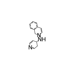 C1=CC(NN2C=Cc3ccccc3C2)CC=N1